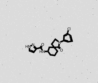 O=C(NC1CCCC2(CCN(c3cccc(Cl)c3)C2=O)C1)c1cc[nH]n1